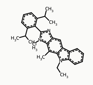 CCn1c2ccccc2c2cc3nc(-c4c(C(C)C)cccc4C(C)C)n(C)c3c(C)c21